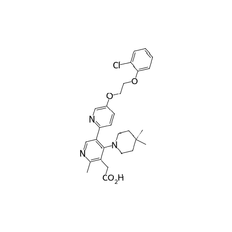 Cc1ncc(-c2ccc(OCCOc3ccccc3Cl)cn2)c(N2CCC(C)(C)CC2)c1CC(=O)O